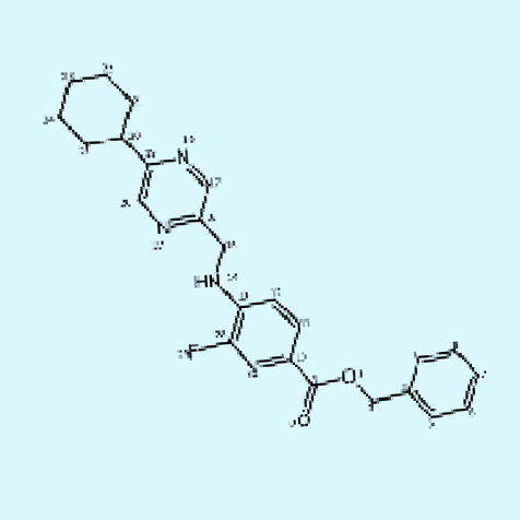 O=C(OCc1ccccc1)c1ccc(NCc2cnc(C3CCCCC3)cn2)c(F)c1